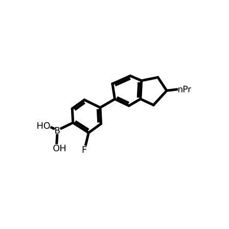 CCCC1Cc2ccc(-c3ccc(B(O)O)c(F)c3)cc2C1